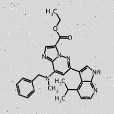 CCOC(=O)c1cnc2c(N(C)Cc3ccccc3)cc(-c3c[nH]c4nccc(C(C)C)c34)nn12